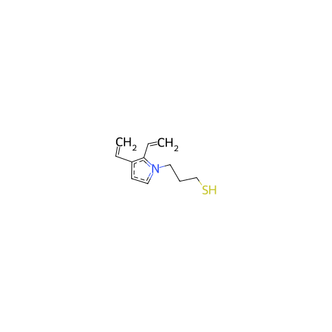 C=Cc1ccn(CCCS)c1C=C